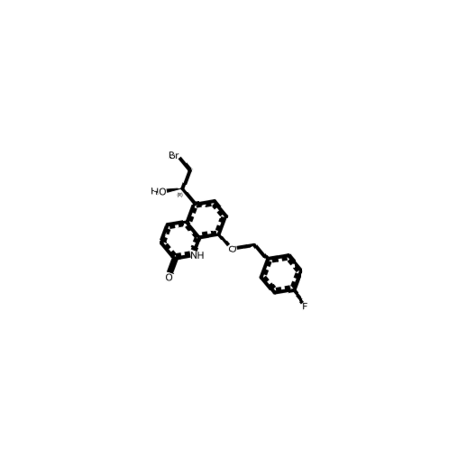 O=c1ccc2c([C@@H](O)CBr)ccc(OCc3ccc(F)cc3)c2[nH]1